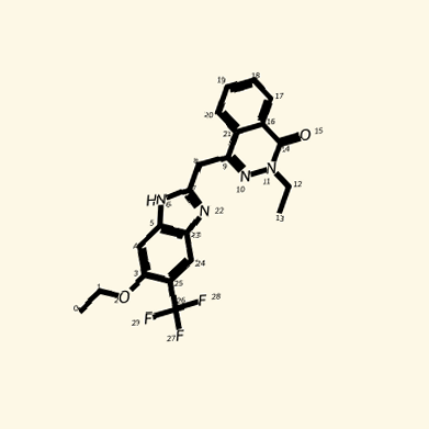 CCOc1cc2[nH]c(Cc3nn(CC)c(=O)c4ccccc34)nc2cc1C(F)(F)F